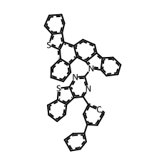 c1ccc(-c2cccc(-c3nc(-n4c5ccccc5c5ccc6c7c8ccccc8sc7c7ccccc7c6c54)nc4sc5ccccc5c34)c2)cc1